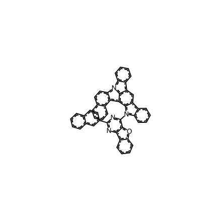 c1ccc2cc(-c3nc(-n4c5ccccc5c5cc6c7ccccc7n7c8ccc9ccccc9c8c(c54)c67)c4oc5ccccc5c4n3)ccc2c1